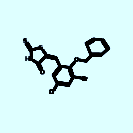 O=C1NC(=S)SC1=Cc1cc(Cl)cc(Br)c1OCc1ccccc1